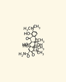 C[C@H]1c2ccc(N(C)C)c(O)c2C(=O)C2=C(O)[C@]3(O)C=C(C(N)=O)C(=O)[C@@H](N(C)C)[C@@H]3[C@@H](O)[C@@H]21